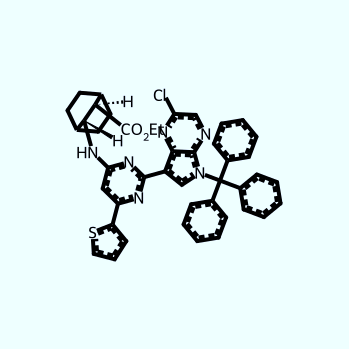 CCOC(=O)[C@@H]1C2CCC(CC2)[C@H]1Nc1cc(-c2cccs2)nc(-c2cn(C(c3ccccc3)(c3ccccc3)c3ccccc3)c3ncc(Cl)nc23)n1